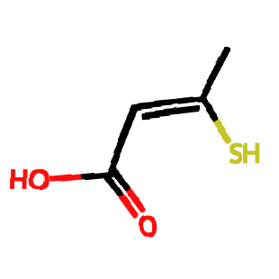 CC(S)=CC(=O)O